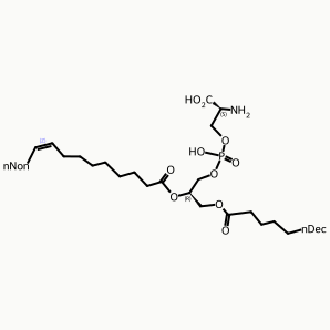 CCCCCCCCC/C=C\CCCCCCCC(=O)O[C@H](COC(=O)CCCCCCCCCCCCCC)COP(=O)(O)OC[C@H](N)C(=O)O